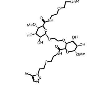 COCCOCCNC(=O)C1O[C@@H](OCCO[C@@H]2C(C(=O)NCCOCCn3nncc3C(C)=O)O[C@@H](OC)[C@@H](O)[C@H]2O)[C@@H](O)[C@@H](O)[C@@H]1OC